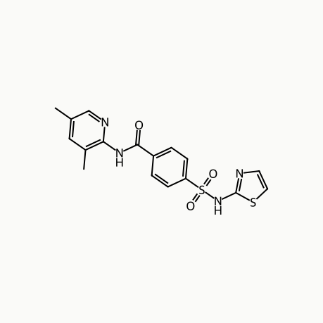 Cc1cnc(NC(=O)c2ccc(S(=O)(=O)Nc3nccs3)cc2)c(C)c1